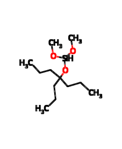 CCCC(CCC)(CCC)O[SiH](OC)OC